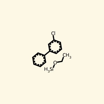 CCO[SiH3].Clc1cccc(-c2ccccc2)c1